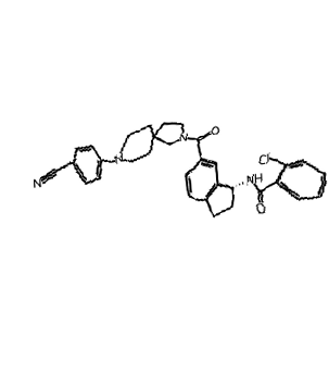 N#Cc1ccc(N2CCC3(CCN(C(=O)c4ccc5c(c4)[C@H](NC(=O)c4ccccc4Cl)CC5)C3)CC2)cc1